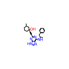 CC1CCCC(O)(C#Cc2nc(NC(C)Cc3ccccc3)c3nc[nH]c3n2)C1